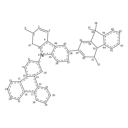 CC1C=Cc2c(n(-c3ccc4c5ccccc5c5ccccc5c4c3)c3ccc(C4=CC(C)C5C(=C4)C(C)(C)c4ccccc45)cc23)C1